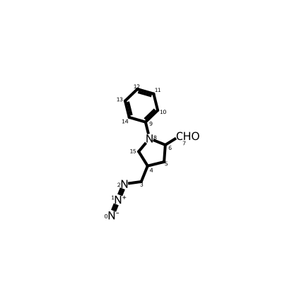 [N-]=[N+]=NCC1CC(C=O)N(c2ccccc2)C1